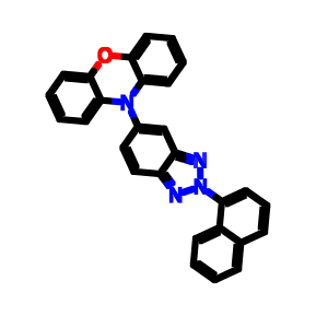 c1ccc2c(c1)Oc1ccccc1N2c1ccc2nn(-c3cccc4ccccc34)nc2c1